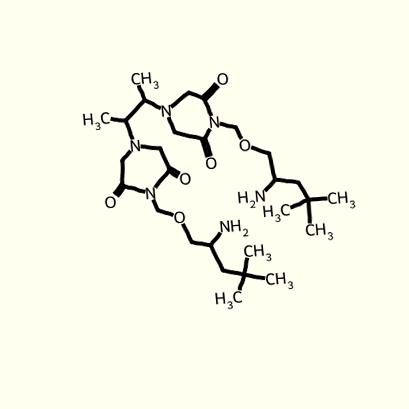 CC(C(C)N1CC(=O)N(COCC(N)CC(C)(C)C)C(=O)C1)N1CC(=O)N(COCC(N)CC(C)(C)C)C(=O)C1